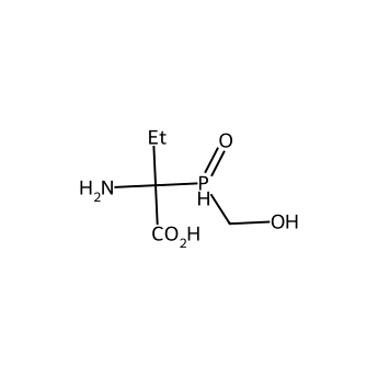 CCC(N)(C(=O)O)[PH](=O)CO